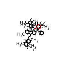 Cc1cc(C)c2c(c1)C(CCc1cc3c(cc1C)C(C)(C)CCC3(C)C)c1ccc(N(c3ccccc3)c3ccccc3)cc1B2c1cc2c(cc1C(C)c1ccc(C(C)(C)C)cc1C)C(C)(C)CC2(C)C